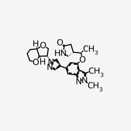 Cc1c2c(O[C@H](C)[C@@H]3CNC(=O)C3)cc(-c3cnn([C@H]4CO[C@@H]5CCCO[C@@H]54)c3)cc2nn1C